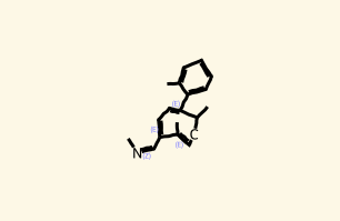 C\N=C/C1=C/C=C(/c2ccccc2C)C(C)C\C=C\1C